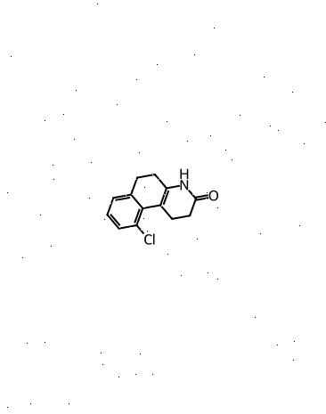 O=C1CCC2=C(CCc3cccc(Cl)c32)N1